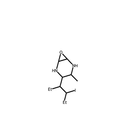 CCC(I)C(CC)C1NC2OC2NC1C